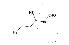 O=CBC(S)CCS